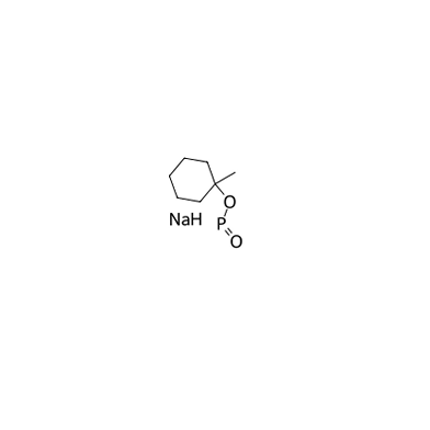 CC1(OP=O)CCCCC1.[NaH]